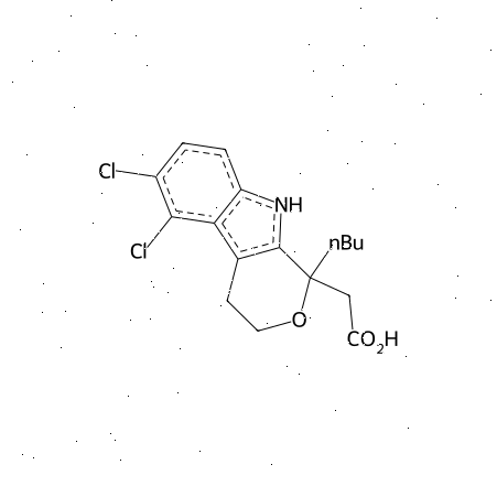 CCCCC1(CC(=O)O)OCCc2c1[nH]c1ccc(Cl)c(Cl)c21